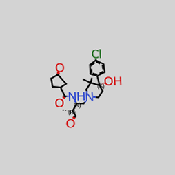 C[C@@H](C=O)[C@H](CN1CC[C@](O)(c2ccc(Cl)cc2)C(C)(C)C1)NC(=O)C1CCC(=O)C1